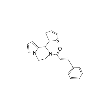 O=C(/C=C/c1ccccc1)N1CCn2cccc2C1C1CC=CS1